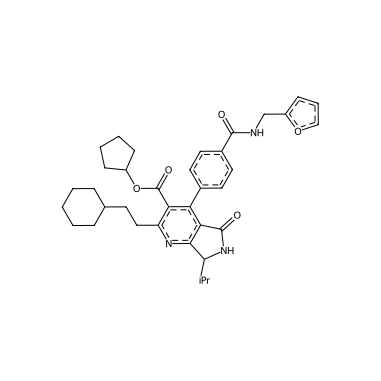 CC(C)C1NC(=O)c2c1nc(CCC1CCCCC1)c(C(=O)OC1CCCC1)c2-c1ccc(C(=O)NCc2ccco2)cc1